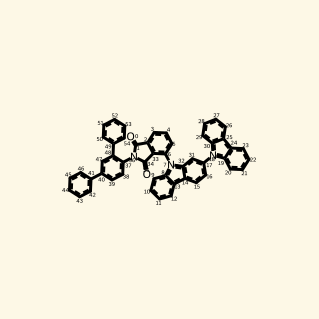 O=C1c2cccc(-n3c4ccccc4c4ccc(-n5c6ccccc6c6ccccc65)cc43)c2C(=O)N1c1ccc(-c2ccccc2)cc1-c1ccccc1